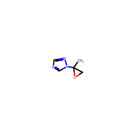 CC1(n2cncn2)CO1